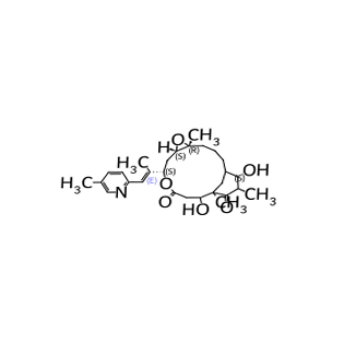 C/C(=C\c1ccc(C)cn1)[C@@H]1C[C@@H]2O[C@]2(C)CCCC2CC(C)(C(=O)C(C)[C@H]2O)C(O)CC(=O)O1